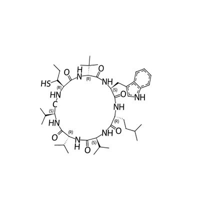 CCC(S)[C@@H]1NC[C@H](C(C)C)NC(=O)[C@@H](C(C)C)NC(=O)[C@H](C(C)C)NC(=O)[C@@H](CCC(C)C)NC(=O)[C@H](Cc2c[nH]c3ccccc23)NC(=O)[C@@H](C(C)(C)C)NC1=O